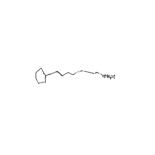 CCCCCCC[CH]CCCCCCC1CCCCC1